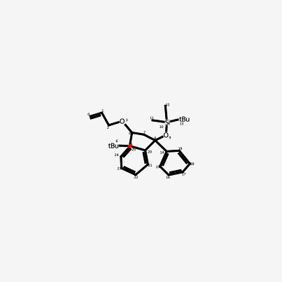 C=CCOC(CC(C)(C)C)CC(O[Si](C)(C)C(C)(C)C)(c1ccccc1)c1ccccc1